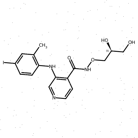 Cc1cc(I)ccc1Nc1cnccc1C(=O)NOC[C@@H](O)CO